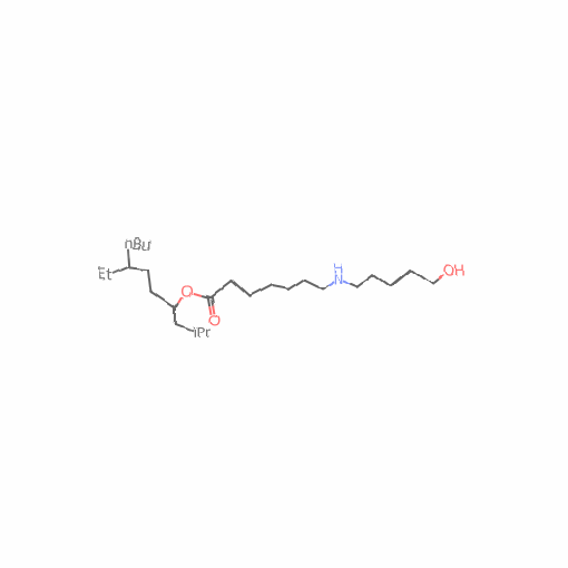 CCCCC(CC)CCC(CC(C)C)OC(=O)CCCCCCNCCCCCO